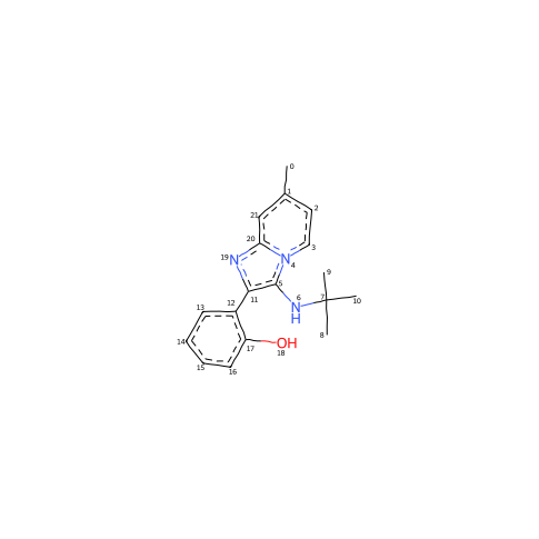 Cc1ccn2c(NC(C)(C)C)c(-c3ccccc3O)nc2c1